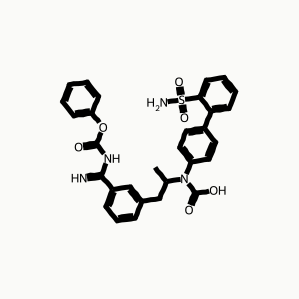 CC(Cc1cccc(C(=N)NC(=O)Oc2ccccc2)c1)N(C(=O)O)c1ccc(-c2ccccc2S(N)(=O)=O)cc1